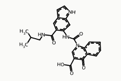 CC(C)CNC(=O)c1cc2cc[nH]c2cc1NC(=O)n1cc(C(=O)O)c(=O)c2ccccc21